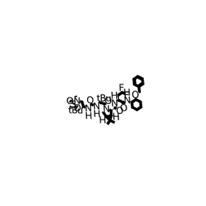 CN(C[C@@H](NC(=O)N[C@H](C(=O)N1C[C@H]2[C@@H]([C@H]1C(=O)N[C@@H](CC(F)F)C(=O)N[C@H]1CCCC[C@H]1OCc1ccccc1)C2(C)C)C(C)(C)C)C(C)(C)C)S(C)(=O)=O